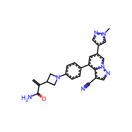 C=C(C(N)=O)C1CN(c2ccc(-c3cc(-c4cnn(C)c4)cn4ncc(C#N)c34)cc2)C1